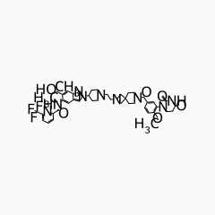 COc1ccc(C(=O)N2CCC3(CC2)CN(CCN2CCC(n4cc5cc(NC(=O)c6cccc(C(F)(F)F)n6)c(C(C)(C)O)cc5n4)CC2)C3)cc1N1CCC(=O)NC1=O